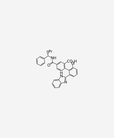 CCC[C@@H](NC(=O)c1ccc(-c2c(Cl)cccc2-c2nc3ccccc3[nH]2)c(C(=O)O)c1)c1ccccc1